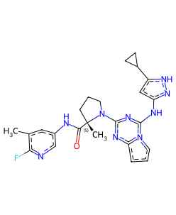 Cc1cc(NC(=O)[C@]2(C)CCCN2c2nc(Nc3cc(C4CC4)[nH]n3)n3cccc3n2)cnc1F